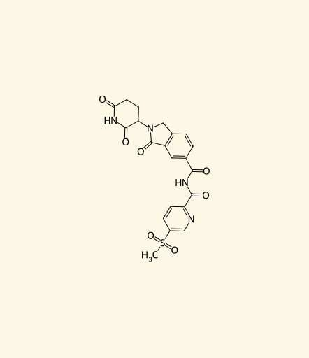 CS(=O)(=O)c1ccc(C(=O)NC(=O)c2ccc3c(c2)C(=O)N(C2CCC(=O)NC2=O)C3)nc1